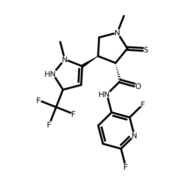 CN1C[C@H](C2=CC(C(F)(F)F)NN2C)[C@@H](C(=O)Nc2ccc(F)nc2F)C1=S